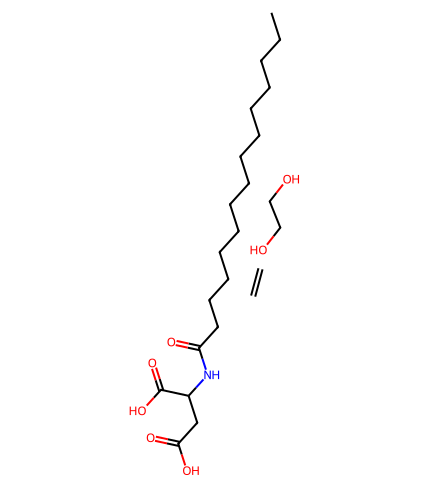 C=C.CCCCCCCCCCCCCCC(=O)NC(CC(=O)O)C(=O)O.OCCO